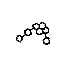 c1ccc(-c2ccc3ccc4ccc(-c5ccc(-c6cccnc6)cc5)c5ccc2c3c45)nc1